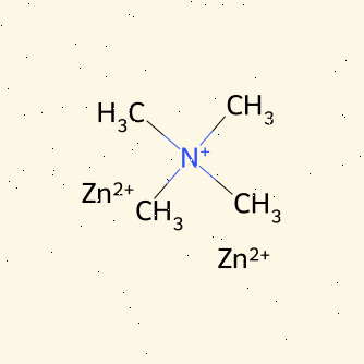 C[N+](C)(C)C.[Zn+2].[Zn+2]